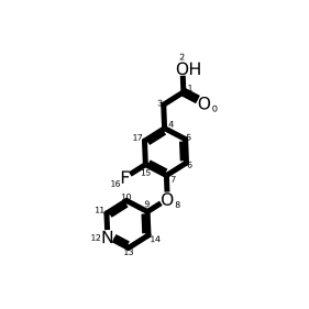 O=C(O)Cc1ccc(Oc2ccncc2)c(F)c1